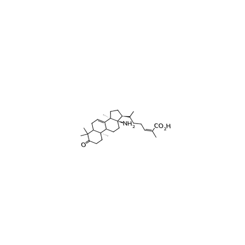 C/C(=C/CCC(C)[C@@H]1CC[C@]2(C)C3=CCC4C(C)(C)C(=O)CC[C@]4(C)C3CC[C@@]12N)C(=O)O